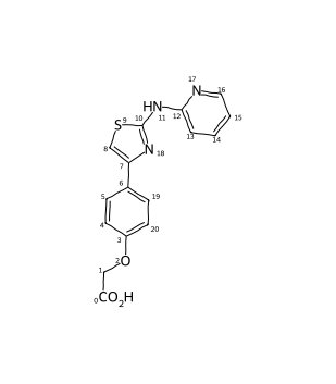 O=C(O)COc1ccc(-c2csc(Nc3ccccn3)n2)cc1